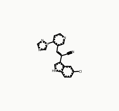 N#CC(=Cc1cnccc1-n1cncn1)c1c[nH]c2ccc(Cl)cc12